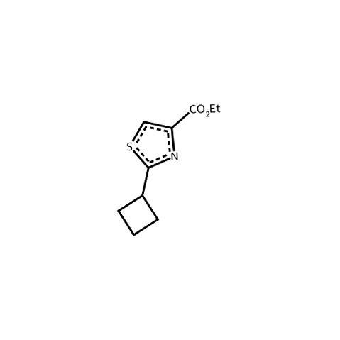 CCOC(=O)c1csc(C2CCC2)n1